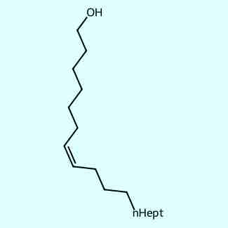 CCCCCCCCCC/C=C\CCCCCCO